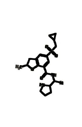 CCC(NC(=O)c1cc(S(=O)(=O)CC2CC2)cc2c1OC(C)C2)C1CCCN1